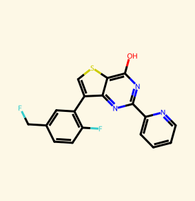 Oc1nc(-c2ccccn2)nc2c(-c3cc(CF)ccc3F)csc12